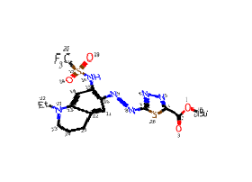 CCC(C)OC(=O)c1nnc(N=Nc2cc3c(cc2NS(=O)(=O)C(F)(F)F)N(CC)CCC3)s1